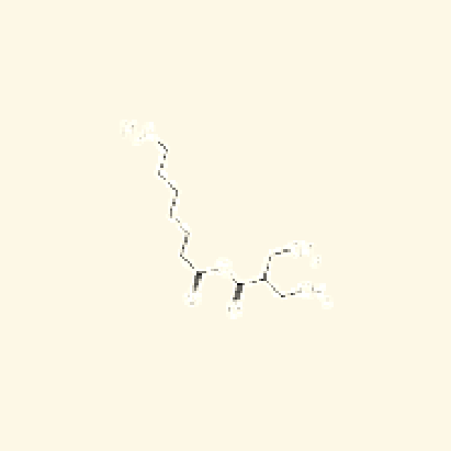 CCCCCCCC(=O)OC(=O)C(CC)CC